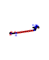 CCCCc1nc2c(N)nc3cc(C)sc3c2n1CC1CCN(CCOCCOCCOCCOCCOCCOCCOCCOCCNC(=O)CCCCCN2C(=O)C=CC2=O)CC1